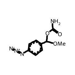 COC(OC(N)=O)c1ccc(N=[N+]=[N-])cc1